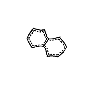 [c]1ccc2[c]cc[c]c2c1